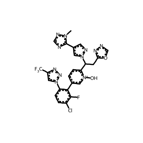 Cn1ncnc1-c1cnn(C(Cc2nnco2)c2ccc(-c3c(-n4cc(C(F)(F)F)nn4)ccc(Cl)c3F)c[n+]2O)c1